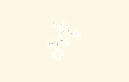 C/C(N)=C/C(=O)NC1CCCC1